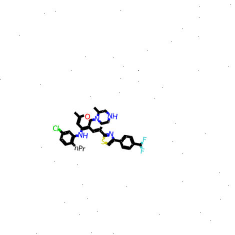 CCCc1ccc(Cl)cc1N/C(C=C(C)C)=C(\C=C(/C)c1nc(-c2ccc(C(F)F)cc2)cs1)C(=O)N1CCNCC1C